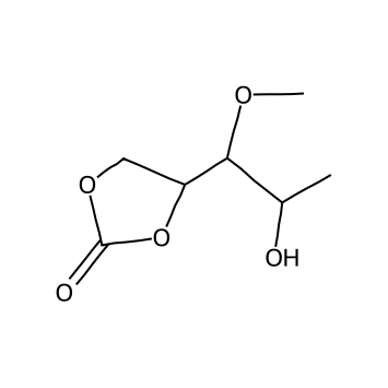 COC(C(C)O)C1COC(=O)O1